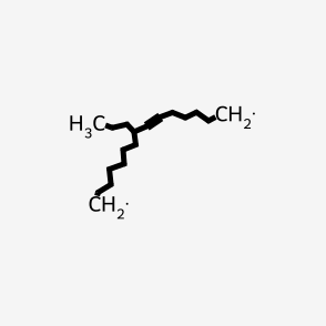 [CH2]CCCCC#CC(CCC)CCCCCC[CH2]